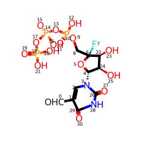 O=Cc1cn([C@@H]2O[C@](F)(COP(=O)(O)OP(=O)(O)OP(=O)(O)O)[C@@H](O)[C@H]2O)c(=O)[nH]c1=O